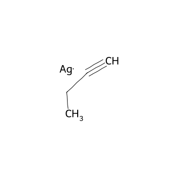 C#CCC.[Ag]